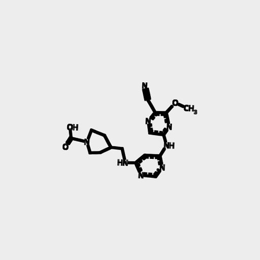 COc1nc(Nc2cc(NCC3CCN(C(=O)O)CC3)ncn2)cnc1C#N